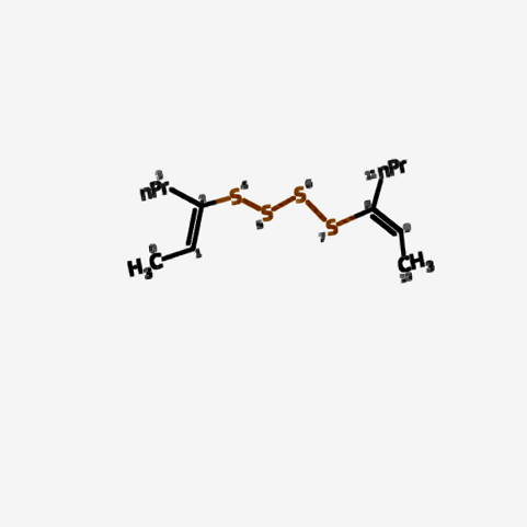 CC=C(CCC)SSSS/C(=C\C)CCC